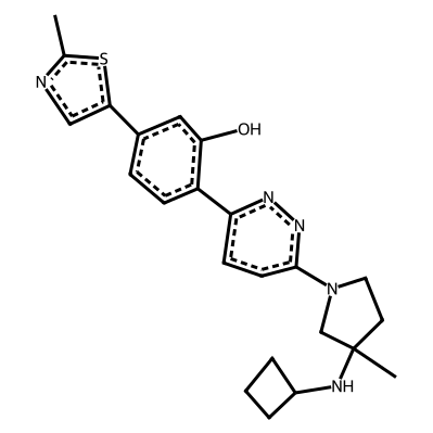 Cc1ncc(-c2ccc(-c3ccc(N4CCC(C)(NC5CCC5)C4)nn3)c(O)c2)s1